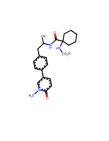 Cn1cc(-c2ccc(CC(C#N)NC(=O)C3(NC(=O)O)CCCCC3)cc2)ccc1=O